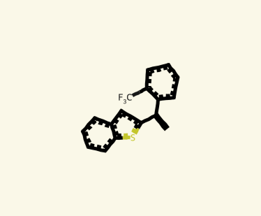 C=C(c1cc2ccccc2s1)c1ccccc1C(F)(F)F